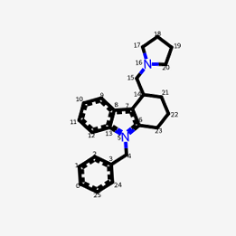 c1ccc(Cn2c3c(c4ccccc42)C(CN2CCCC2)CCC3)cc1